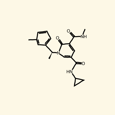 CNC(=O)c1cc(C(=O)NC2CC2)cn([C@@H](C)c2cccc(C)c2)c1=O